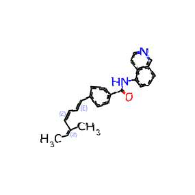 C\C=C(C)/C=C\C=C\c1ccc(C(=O)Nc2cccc3cnccc23)cc1